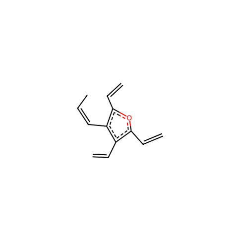 C=Cc1oc(C=C)c(/C=C\C)c1C=C